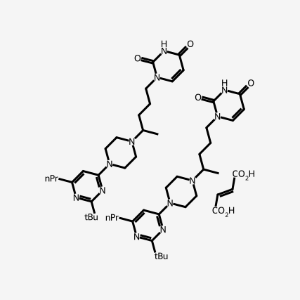 CCCc1cc(N2CCN(C(C)CCCn3ccc(=O)[nH]c3=O)CC2)nc(C(C)(C)C)n1.CCCc1cc(N2CCN(C(C)CCCn3ccc(=O)[nH]c3=O)CC2)nc(C(C)(C)C)n1.O=C(O)C=CC(=O)O